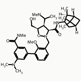 CNC(=O)c1cc(-c2cccc(CN3O[C@@H](CO)[C@@H](C(C)NC)[C@H]3C(=O)NC3C[C@H]4C[C@@H]([C@@H]3C)C4(C)C)c2OC)cc(N(C)C)c1